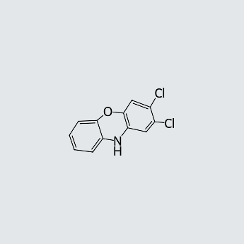 Clc1cc2c(cc1Cl)Oc1ccccc1N2